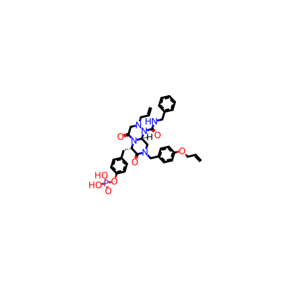 C=CCOc1ccc(CN2C[C@H]3N(C(=O)CN(CC=C)N3C(=O)NCc3ccccc3)[C@@H](Cc3ccc(OP(=O)(O)O)cc3)C2=O)cc1